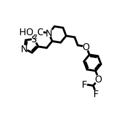 O=C(O)N1CCC(CCOc2ccc(OC(F)F)cc2)CC1Cc1cncs1